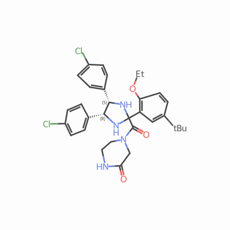 CCOc1ccc(C(C)(C)C)cc1C1(C(=O)N2CCNC(=O)C2)N[C@H](c2ccc(Cl)cc2)[C@H](c2ccc(Cl)cc2)N1